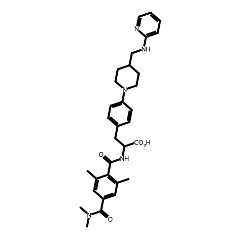 Cc1cc(C(=O)N(C)C)cc(C)c1C(=O)NC(Cc1ccc(N2CCC(CNc3ccccn3)CC2)cc1)C(=O)O